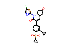 O=C1CC[C@H](C=C(C(=O)Nc2ncc(F)s2)c2ccc(S(=O)(=O)C3CC3)c(C3CC3)c2)C1